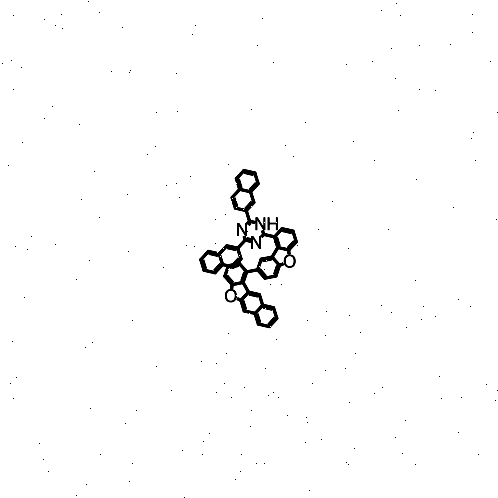 c1ccc2cc(C3=NC(c4cccc5oc6ccc(-c7cccc8oc9cc%10ccccc%10cc9c78)cc6c45)NC(c4ccc5ccccc5c4)=N3)ccc2c1